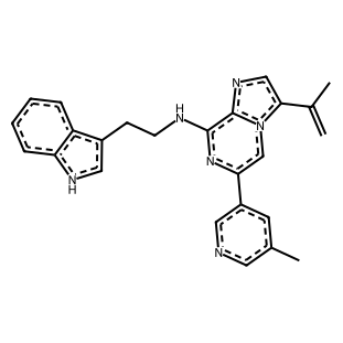 C=C(C)c1cnc2c(NCCc3c[nH]c4ccccc34)nc(-c3cncc(C)c3)cn12